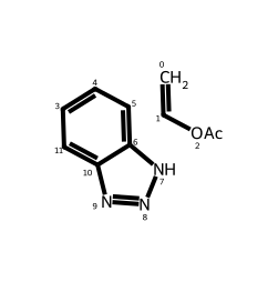 C=COC(C)=O.c1ccc2[nH]nnc2c1